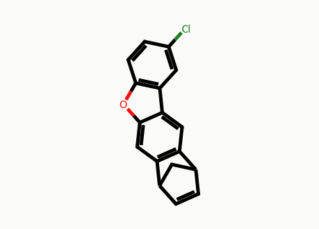 Clc1ccc2oc3cc4c(cc3c2c1)C1C=CC4C1